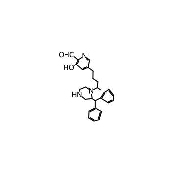 CC(CCCc1cnc(C=O)c(O)c1)N1CCNCC1C(c1ccccc1)c1ccccc1